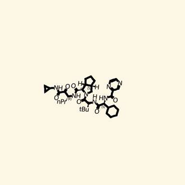 CCC[C@@H](NC(=O)[C@H]1[C@@H]2CCC[C@@H]2CN1C(=O)[C@@H](NC(=O)[C@@H](NC(=O)c1cnccn1)C1CCCCC1)C(C)(C)C)C(=O)C(=O)NC1CC1